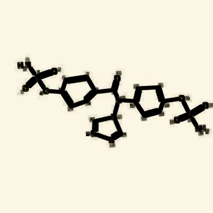 NS(=O)(=O)Oc1ccc(C(=O)N(c2ccc(OS(N)(=O)=O)cc2)n2cnnc2)cc1